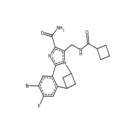 NC(=O)c1nc2n(c1CNC(=O)C1CCC1)C1CC(C1)c1cc(F)c(Br)cc1-2